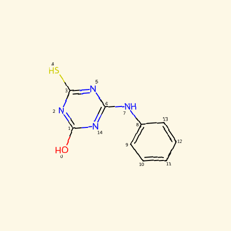 Oc1nc(S)nc(Nc2ccccc2)n1